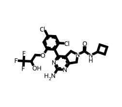 Nc1nc2c(c(-c3c(Cl)cc(Cl)cc3OCC(O)C(F)(F)F)n1)CN(C(=O)NC1CCC1)C2